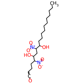 CCCCCCCCCCCC(O)C(CC(O)C(CCC=C=O)[N+](=O)[O-])[N+](=O)[O-]